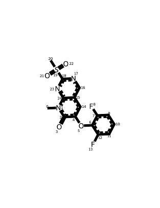 Cn1c(=O)c(Oc2c(F)cccc2F)cc2cnc(S(C)(=O)=O)nc21